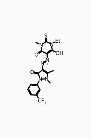 CCn1c(O)c(/N=N/c2c(C)n(C)n(-c3cccc(C(F)(F)F)c3)c2=O)c(=O)n(C)c1=S